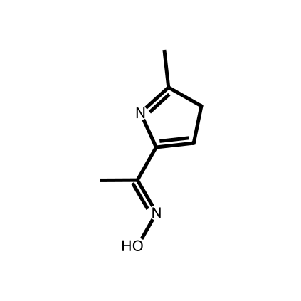 CC1=NC(C(C)=NO)=CC1